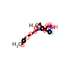 CC(=O)c1ccc(COCCOCCOCCN(c2cc3oc(-c4ccc(F)cc4)c(C(=O)NC(=O)O)c3cc2C2CC2)S(C)(=O)=O)cc1